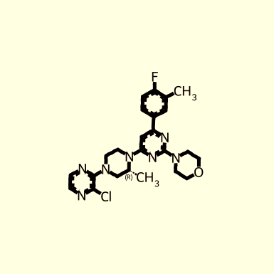 Cc1cc(-c2cc(N3CCN(c4nccnc4Cl)C[C@H]3C)nc(N3CCOCC3)n2)ccc1F